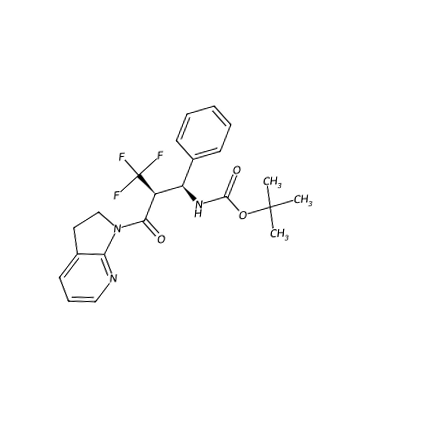 CC(C)(C)OC(=O)N[C@H](c1ccccc1)[C@@H](C(=O)N1CCc2cccnc21)C(F)(F)F